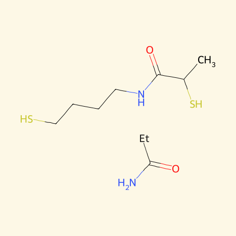 CC(S)C(=O)NCCCCS.CCC(N)=O